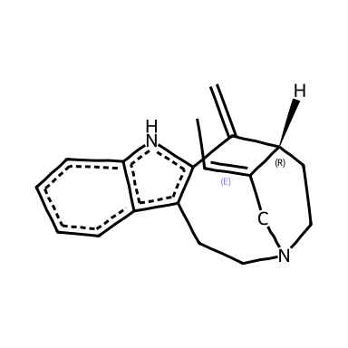 C=C1c2[nH]c3ccccc3c2CCN2CC[C@@H]1/C(=C\C)C2